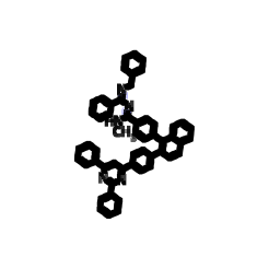 CN/C(=N\C(=N/Cc1ccccc1)c1ccccc1)c1ccc(-c2c(-c3ccc(-c4cc(-c5ccccc5)nc(-c5ccccc5)n4)cc3)ccc3ccccc23)cc1